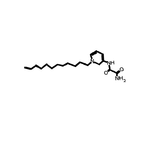 CCCCCCCCCCCCN1C=CC=C(NC(=O)C(N)=O)C1